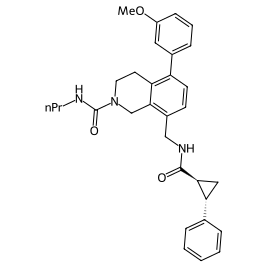 CCCNC(=O)N1CCc2c(-c3cccc(OC)c3)ccc(CNC(=O)[C@H]3C[C@@H]3c3ccccc3)c2C1